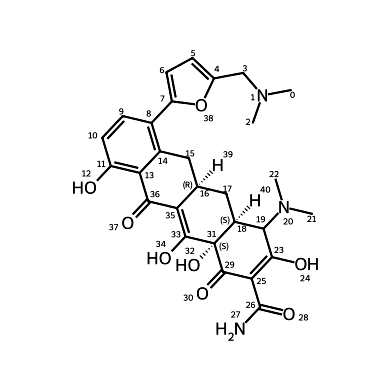 CN(C)Cc1ccc(-c2ccc(O)c3c2C[C@H]2C[C@H]4C(N(C)C)C(O)=C(C(N)=O)C(=O)[C@@]4(O)C(O)=C2C3=O)o1